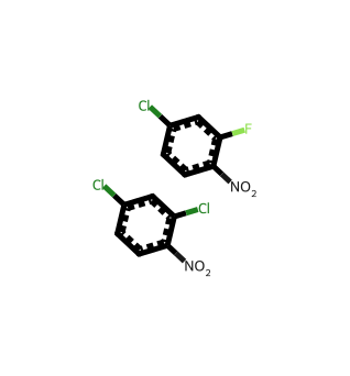 O=[N+]([O-])c1ccc(Cl)cc1Cl.O=[N+]([O-])c1ccc(Cl)cc1F